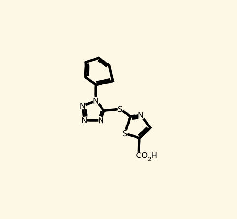 O=C(O)c1cnc(Sc2nnnn2-c2ccccc2)s1